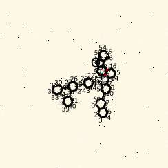 C1=c2ccccc2=CC(c2ccc(-c3ccccc3)c(N(c3ccc(-c4ccc(-c5ccccc5)c(-c5ccccc5)c4)cc3)c3ccc4c(c3)oc3ccccc34)c2)C1